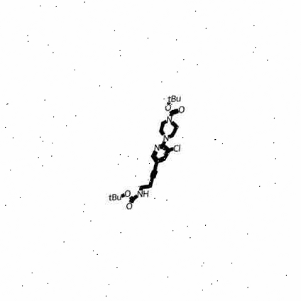 CC(C)(C)OC(=O)NCCC#Cc1cnc(N2CCN(C(=O)OC(C)(C)C)CC2)c(Cl)c1